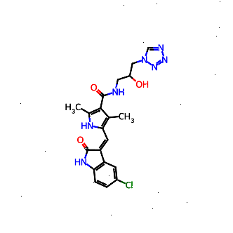 Cc1[nH]c(C=C2C(=O)Nc3ccc(Cl)cc32)c(C)c1C(=O)NCC(O)Cn1cnnn1